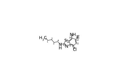 CCCCCNc1nc2c(Cl)cc(F)c(N)c2s1